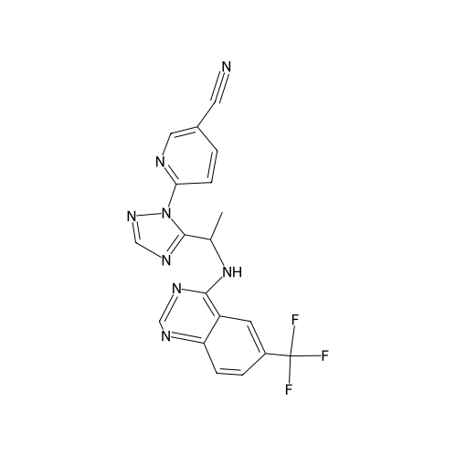 CC(Nc1ncnc2ccc(C(F)(F)F)cc12)c1ncnn1-c1ccc(C#N)cn1